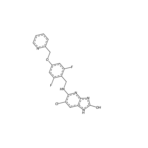 Oc1nc2nc(NCc3c(F)cc(OCc4ccccn4)cc3F)c(Cl)cc2[nH]1